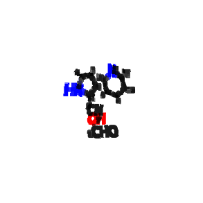 N#Cc1ccc[nH]1.O=CO.c1ccncc1